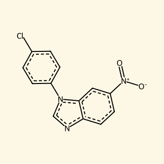 O=[N+]([O-])c1ccc2ncn(-c3ccc(Cl)cc3)c2c1